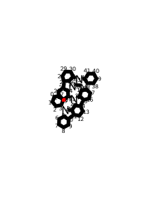 c1ccc(-n2c3ccccc3c3ccc4c5ccccc5n(-c5cccc6c7cccc8c7n(c56)c5nc6ccccc6n85)c4c32)cc1